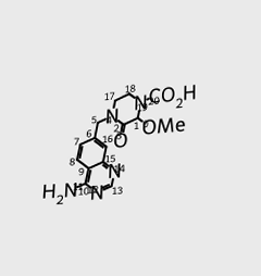 COC1C(=O)N(Cc2ccc3c(N)ncnc3c2)CCN1C(=O)O